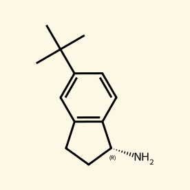 CC(C)(C)c1ccc2c(c1)CC[C@H]2N